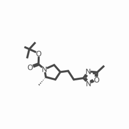 Cc1nc(CCC2C[C@H](C)N(C(=O)OC(C)(C)C)C2)no1